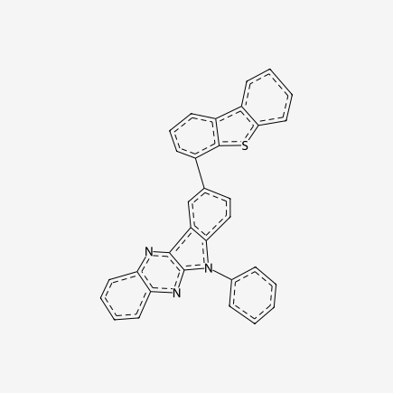 c1ccc(-n2c3ccc(-c4cccc5c4sc4ccccc45)cc3c3nc4ccccc4nc32)cc1